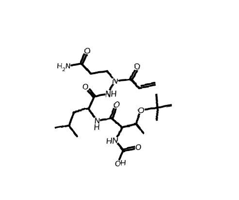 C=CC(=O)N(CCC(N)=O)NC(=O)C(CC(C)C)NC(=O)C(NC(=O)O)C(C)OC(C)(C)C